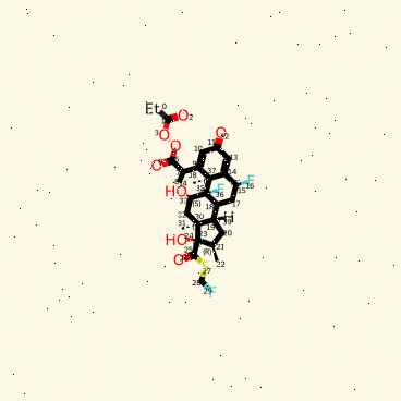 CCC(=O)OOC(=O)C(C)C1=CC(=O)C=C2[C@@H](F)CC3[C@@H]4C[C@@H](C)[C@](O)(C(=O)SCF)[C@@]4(C)C[C@H](O)[C@]3(F)[C@@]12C